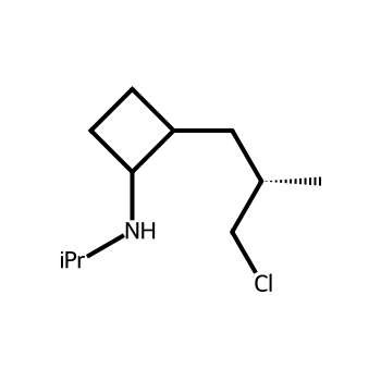 CC(C)NC1CCC1C[C@H](C)CCl